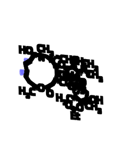 CCOC(=O)[C@@H]1CC(=O)O[C@H](C)C/C=C/C=C/[C@H](O)[C@H](C)C[C@H](CC=O)[C@H](O[C@@H]2O[C@H](C)[C@@H](O[C@H]3C[C@@](C)(O)[C@@H](OC(=O)CC)[C@H](C)O3)[C@H](N(C)C)[C@H]2O)[C@H]1OC